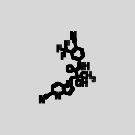 CC(O)(Cn1ccc2nc(C#N)ccc21)C(=O)Nc1ccc(C#N)c(C(F)(F)F)c1